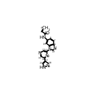 C=CC(=O)Nc1ccc2ncn(-c3cncc(-c4cn[nH]c4)n3)c2c1